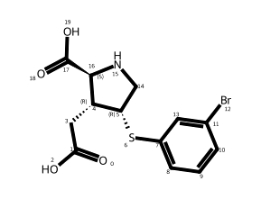 O=C(O)C[C@H]1[C@@H](Sc2cccc(Br)c2)CN[C@@H]1C(=O)O